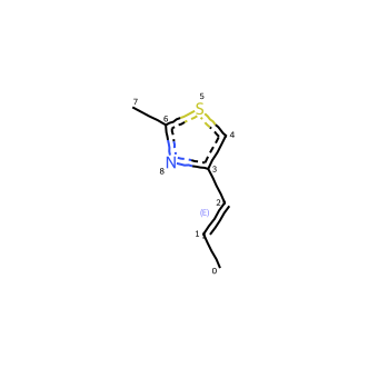 C/[C]=C/c1csc(C)n1